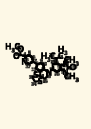 COC(=O)c1ccc(-c2ccc3c(c2)C2(CCN3c3cc(C(C)C)c4c(c3)n(C)c(=O)n4C)SCCS2)cn1